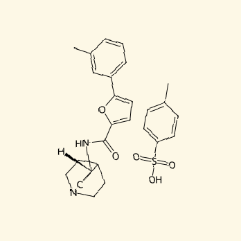 Cc1ccc(S(=O)(=O)O)cc1.Cc1cccc(-c2ccc(C(=O)N[C@H]3CN4CCC3CC4)o2)c1